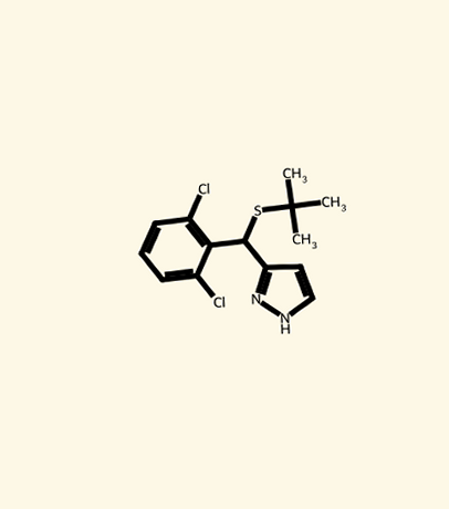 CC(C)(C)SC(c1cc[nH]n1)c1c(Cl)cccc1Cl